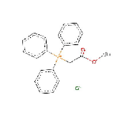 CC(C)(C)OC(=O)C[P+](c1ccccc1)(c1ccccc1)c1ccccc1.[Cl-]